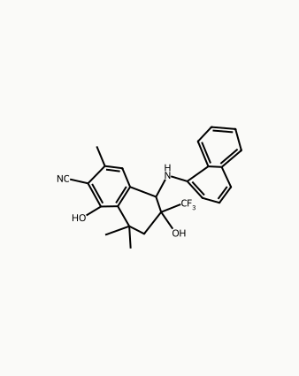 Cc1cc2c(c(O)c1C#N)C(C)(C)CC(O)(C(F)(F)F)C2Nc1cccc2ccccc12